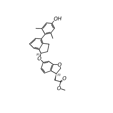 COC(=O)C[C@@H]1COc2cc(O[C@@H]3CCc4c(-c5c(C)cc(O)cc5C)cccc43)ccc21